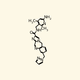 Cc1cc(N)nc(C)c1CNC(=O)c1cn2c(n1)C=Nc1cc(Cn3cccn3)ccc1C2